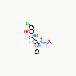 CC(=O)NCCNc1nc(-c2ccccc2)nc2[nH]c(C(=O)NC(CO)Cc3ccc(Cl)cc3)cc12